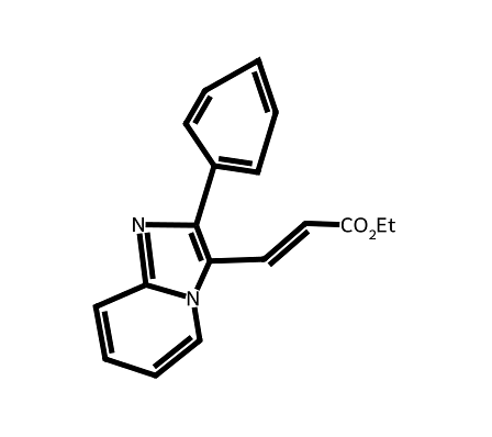 CCOC(=O)C=Cc1c(-c2ccccc2)nc2ccccn12